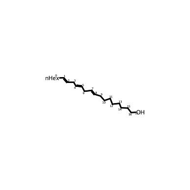 CCCCCCC=CCC=CCC=CCCCCCCCCO